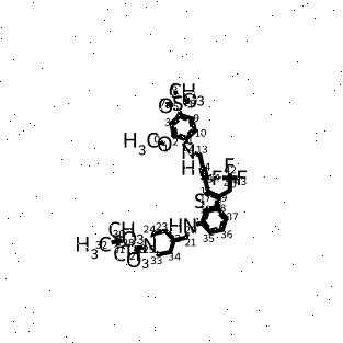 COc1cc(S(C)(=O)=O)ccc1NCC#Cc1sc2c(NCC3CCN(C(=O)OC(C)(C)C)CC3)cccc2c1CC(F)(F)F